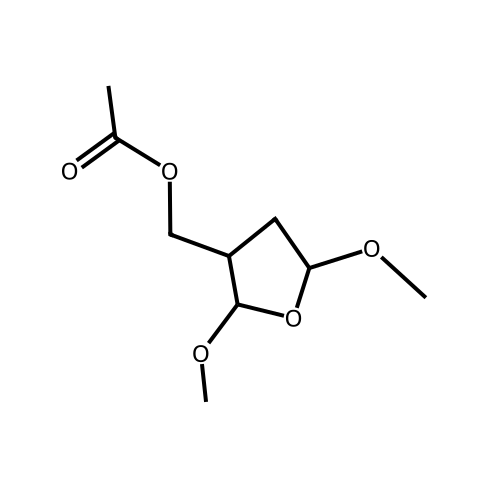 COC1CC(COC(C)=O)C(OC)O1